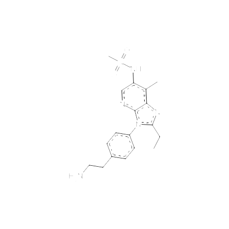 CCc1nc2c(C)c(NS(C)(=O)=O)cnc2n1-c1ccc(CCN)cc1